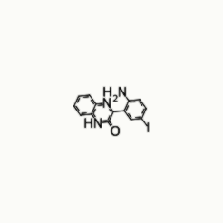 Nc1ccc(I)cc1-c1nc2ccccc2[nH]c1=O